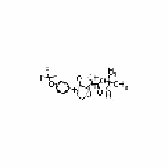 CC(C)(C)OC(=O)[C@H](O)[C@H]1OCCN(c2ccc(OC(F)(F)F)cc2)C1=O